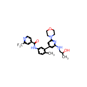 Cc1ccc(NC(=O)c2ccnc(C(F)(F)F)c2)cc1-c1cc(NCC(C)O)nc(N2CCOCC2)c1